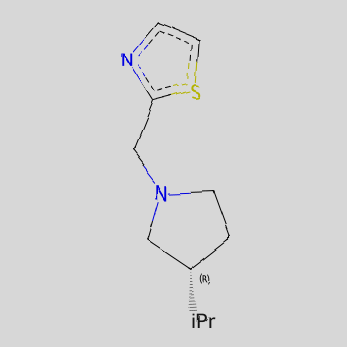 CC(C)[C@H]1CCN(Cc2nccs2)C1